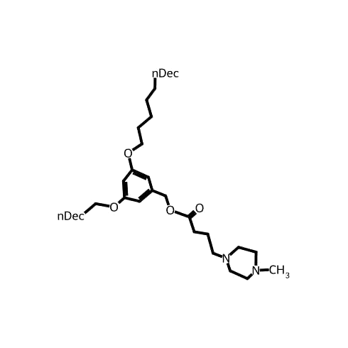 CCCCCCCCCCCCCCCOc1cc(COC(=O)CCCN2CCN(C)CC2)cc(OCCCCCCCCCCC)c1